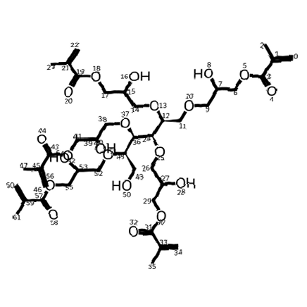 C=C(C)C(=O)OCC(O)COC[C@H](OCC(O)COC(=O)C(=C)C)[C@@H](OCC(O)COC(=O)C(=C)C)[C@H](OCC(O)COC(=O)C(=C)C)[C@@H](CO)OCC(O)COC(=O)C(=C)C